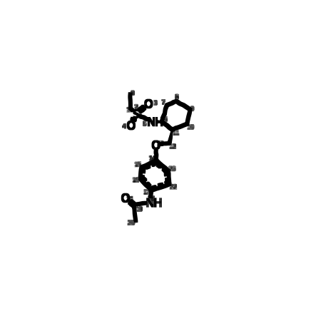 CCS(=O)(=O)N[C@@H]1CCCC[C@H]1COc1ccc(NC(C)=O)cc1